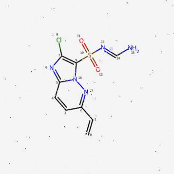 C=Cc1ccc2nc(Cl)c(S(=O)(=O)/N=C/N)n2n1